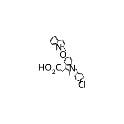 Cc1c(CC(=O)O)c2cc(OCc3ccc4ccccc4n3)ccc2n1Cc1ccc(Cl)cc1